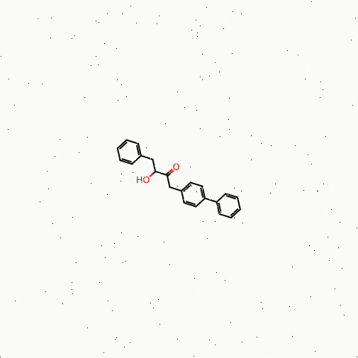 O=C(Cc1ccc(-c2ccccc2)cc1)C(O)Cc1ccccc1